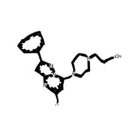 OCCN1CCN(c2cc(Cl)nc3cc(-c4ccccc4)nn23)CC1